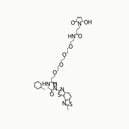 Cc1nc2c(ccc3nc(NC(=O)[C@H](Cc4ccccc4)NC(=O)CCOCCOCCOCCOCCNC(=O)CCN4C(=O)C=CC4O)sc32)s1